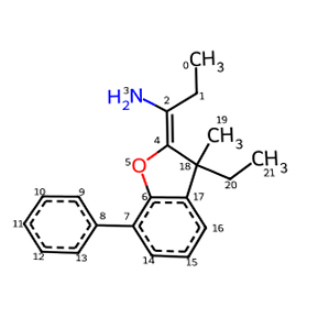 CC/C(N)=C1/Oc2c(-c3ccccc3)cccc2C1(C)CC